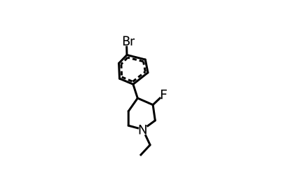 CCN1CCC(c2ccc(Br)cc2)C(F)C1